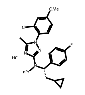 CCCN(c1nc(C)n(-c2ccc(OC)cc2Cl)n1)[C@@H](CC1CC1)c1ccc(F)cc1.Cl